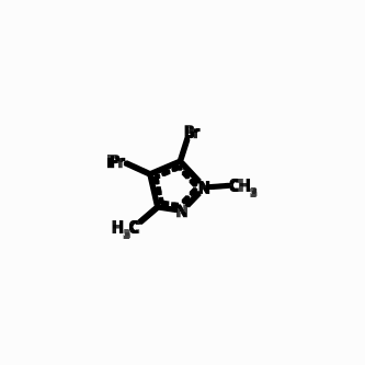 Cc1nn(C)c(Br)c1C(C)C